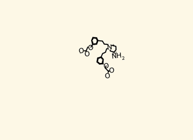 COC(=O)COc1cccc(CCC[N+]2(CCCc3cccc(OCC(=O)OC)c3)CCC[C@H](N)C2)c1